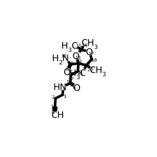 C#CCCNC(=O)CCC1(C(N)=O)OC(C)(C)OCC1(C)C